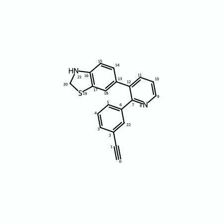 C#Cc1cccc(-c2ncccc2-c2ccc3c(c2)SCN3)c1